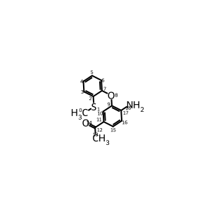 CSc1ccccc1Oc1cc(C(C)=O)ccc1N